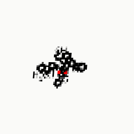 C=C/C=C\C1=C(N(c2ccc3c(c2)C(C)(C)c2ccccc2-3)c2ccc3sc4ccccc4c3c2)C2(c3ccccc31)c1ccccc1-c1c2ccc2c1oc1ccccc12